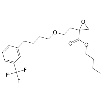 CCCCOC(=O)C1(CCOCCCCc2cccc(C(F)(F)F)c2)CO1